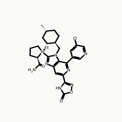 CC[N+]1(c2nc3cc(-c4noc(=O)[nH]4)nc(-c4cncc(Cl)c4)c3n2C[C@H]2CC[C@H](C)CC2)CCC[C@@H]1C(N)=O